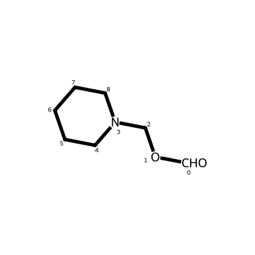 O=COCN1CCCCC1